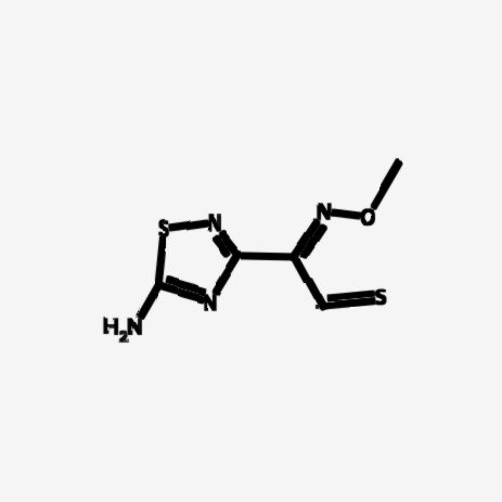 CON=C([C]=S)c1nsc(N)n1